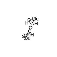 CC(C)(C)OC(=O)NC(=N)c1ccc(OCC(O)CO[Si](C)(C)C(C)(C)C)cc1